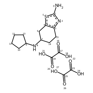 Nc1nc2c(s1)CC(NC1CCCC1)CC2.O=C(O)C(=O)O.O=C(O)C(=O)O